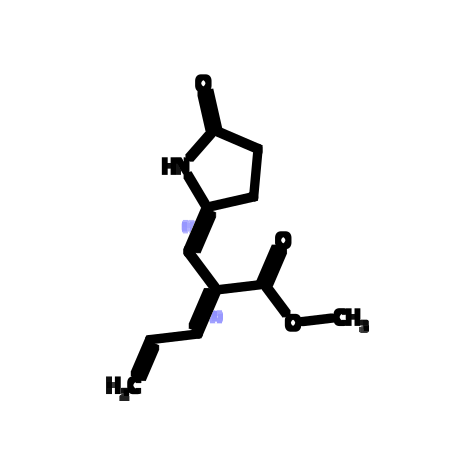 C=C/C=C(\C=C1/CCC(=O)N1)C(=O)OC